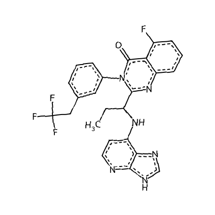 CCC(Nc1ccnc2[nH]cnc12)c1nc2cccc(F)c2c(=O)n1-c1cccc(CC(F)(F)F)c1